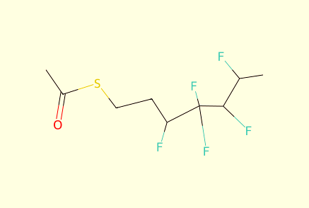 CC(=O)SCCC(F)C(F)(F)C(F)C(C)F